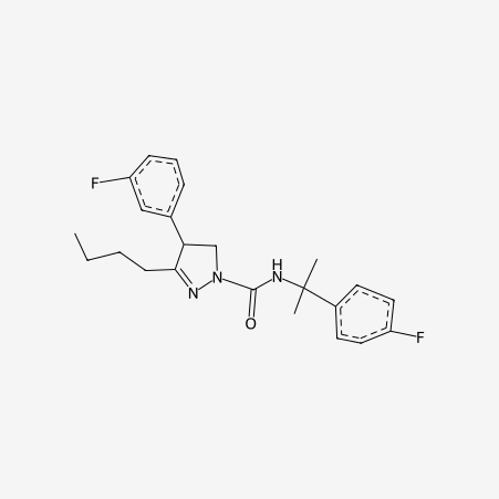 CCCCC1=NN(C(=O)NC(C)(C)c2ccc(F)cc2)CC1c1cccc(F)c1